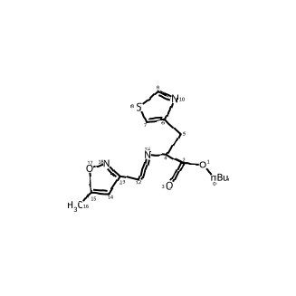 CCCCOC(=O)C(Cc1cscn1)N=Cc1cc(C)on1